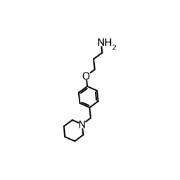 NCCCOc1ccc(CN2CCCCC2)cc1